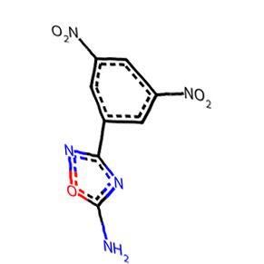 Nc1nc(-c2cc([N+](=O)[O-])cc([N+](=O)[O-])c2)no1